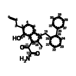 C=CCc1ccc2c(c1O)c(C(=O)C(N)=O)c(C)n2Cc1ccccc1-c1ccccc1